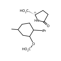 CC1CCC(C(C)C)C(OC(=O)O)C1.O=C1CC[C@@H](C(=O)O)N1